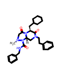 CN1CC(=O)N2[C@@H](CC3CCCCC3)C(=O)N(CCc3ccccc3)C[C@@H]2N1C(=O)NCc1ccccc1